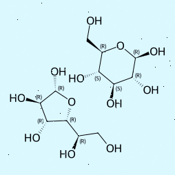 OC[C@@H](O)[C@H]1O[C@@H](O)[C@H](O)[C@H]1O.OC[C@H]1O[C@@H](O)[C@H](O)[C@@H](O)[C@@H]1O